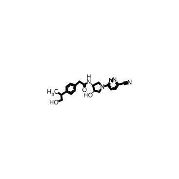 CC(CO)c1ccc(CC(=O)N[C@@H]2CN(c3ccc(C#N)nn3)C[C@@H]2O)cc1